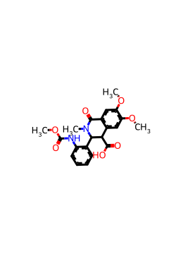 COC(=O)Nc1ccccc1C1C(C(=O)O)c2cc(OC)c(OC)cc2C(=O)N1C